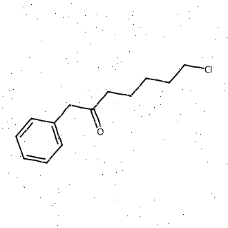 O=C(CCCCCCl)Cc1ccccc1